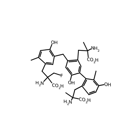 Cc1cc(O)c(Cc2cc(O)c(-c3c(CC(C)(N)C(=O)O)ccc(O)c3C)cc2CC(C)(N)C(=O)O)cc1CC(N)(CF)C(=O)O